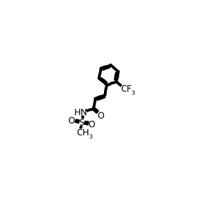 CS(=O)(=O)NC(=O)/C=C/c1ccccc1C(F)(F)F